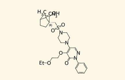 CCOCCOc1c(N2CCN(S(=O)(=O)C[C@@]34CCC(CC3O)C4(C)C)CC2)cnn(-c2ccccc2)c1=O